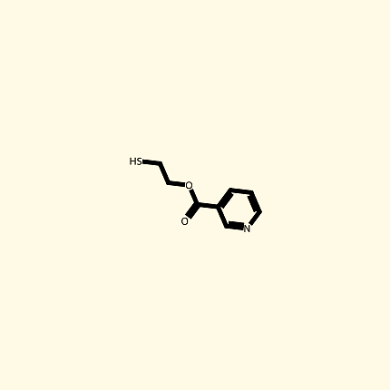 O=C(OCCS)c1cccnc1